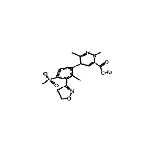 CC1=NN(C)C(C(=O)C=O)=CC1c1ccc(S(C)(=O)=O)c(C2=NOCC2)c1C